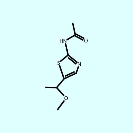 COC(C)c1cnc(NC(C)=O)s1